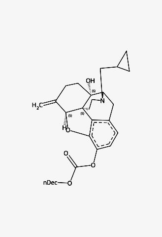 C=C1CC[C@@]2(O)C3Cc4ccc(OC(=O)OCCCCCCCCCC)c5c4[C@@]2(CCN3CC2CC2)[C@H]1O5